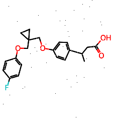 CC(CC(=O)O)c1ccc(OCC2(COc3ccc(F)cc3)CC2)cc1